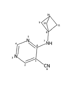 N#Cc1cncnc1NC12CC(C1)C2